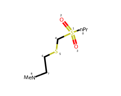 CCCS(=O)(=O)CSCCNC